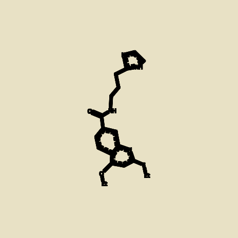 CCOc1cc(SCC)nc2cc(C(=O)NCCCc3ncc[nH]3)ccc12